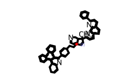 CC(/C=C\CCCC1C=CC(c2nc3c(c4c5ccccc5c5ccccc5c24)CCC=C3)=CC1)(c1ccc2ccc3ccc(-c4ccccc4)nc3c2n1)C1C=CC=NC1